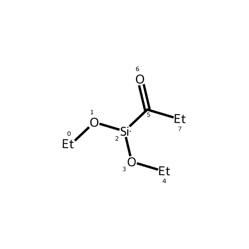 CCO[Si](OCC)C(=O)CC